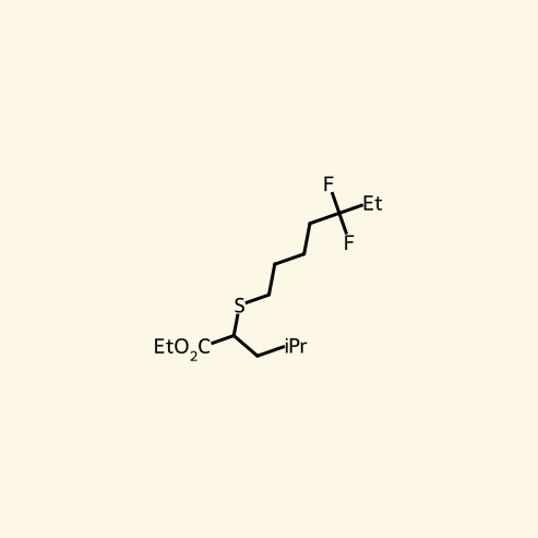 CCOC(=O)C(CC(C)C)SCCCCC(F)(F)CC